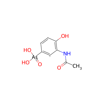 CC(=O)Nc1[c]c([As](=O)(O)O)ccc1O